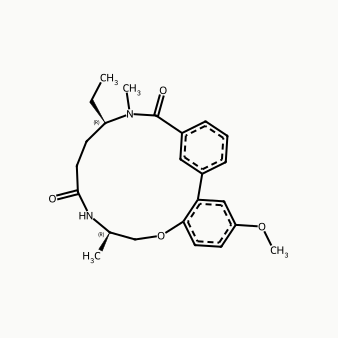 CC[C@@H]1CCC(=O)N[C@H](C)COc2ccc(OC)cc2-c2cccc(c2)C(=O)N1C